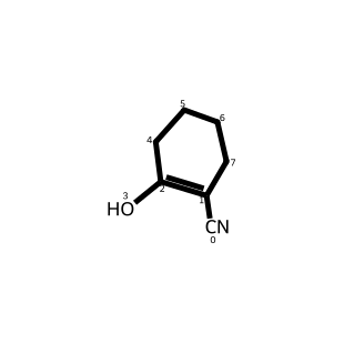 N#CC1=C(O)CCCC1